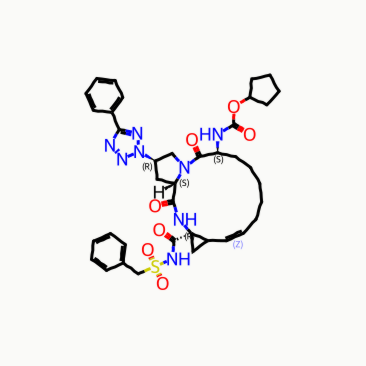 O=C(N[C@H]1CCCCC/C=C\C2C[C@@]2(C(=O)NS(=O)(=O)Cc2ccccc2)NC(=O)[C@@H]2C[C@@H](n3nnc(-c4ccccc4)n3)CN2C1=O)OC1CCCC1